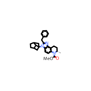 COC(=O)N1c2ccc3c(nc(Cc4ccccc4)n3C34CC5CCC(C3)C54)c2CC[C@@H]1C